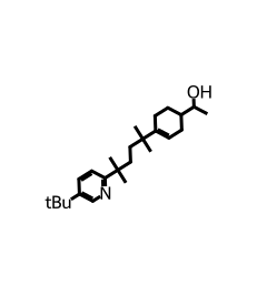 CC(O)C1CC=C(C(C)(C)CCC(C)(C)c2ccc(C(C)(C)C)cn2)CC1